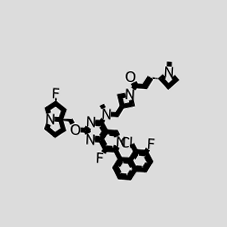 CN(CC1CN(C(=O)/C=C/[C@H]2CCN2C)C1)c1nc(OC[C@@]23CCCN2C[C@H](F)C3)nc2c(F)c(-c3cccc4ccc(F)c(Cl)c34)ncc12